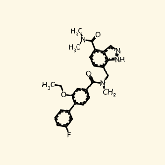 CCOc1cc(C(=O)N(C)Cc2ccc(C(=O)N(C)C)c3cn[nH]c23)ccc1-c1cccc(F)c1